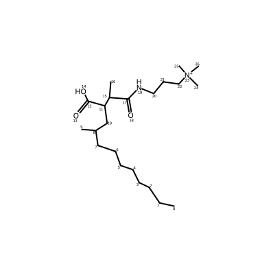 CCCCCCCCC(C)CC(C(=O)O)C(C)C(=O)NCCC[N+](C)(C)C